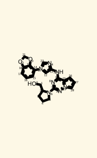 OCC1CCCN1c1nc(Nc2cn(-c3cccc4c3OCO4)cn2)c2cccn2n1